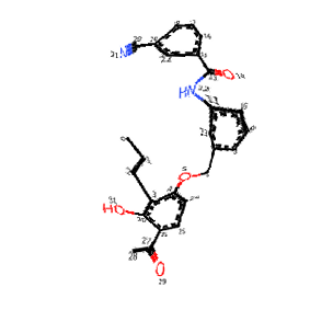 CCCc1c(OCc2cccc(NC(=O)c3cccc(C#N)c3)c2)ccc(C(C)=O)c1O